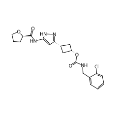 O=C(NCc1ccccc1Cl)O[C@H]1C[C@@H](c2cc(NC(=O)[C@H]3CCCO3)[nH]n2)C1